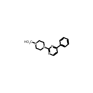 O=C(O)N1CCN(c2nccc(-c3ccccc3)n2)CC1